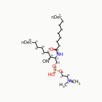 CCCCCCCCCCCCCCCCCC(=O)NC(COP(O)OCCN(C)C)C(CCCCCCCCCCCCCCC)N=O